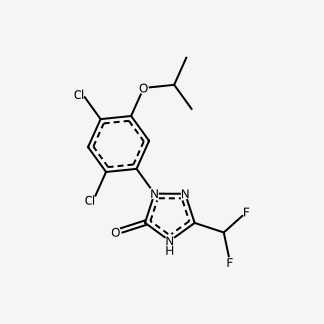 CC(C)Oc1cc(-n2nc(C(F)F)[nH]c2=O)c(Cl)cc1Cl